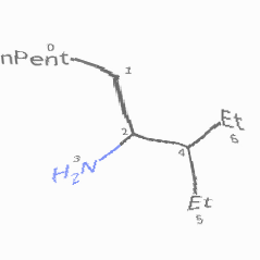 CCCCCCC(N)C(CC)CC